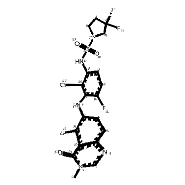 Cn1cnc2ccc(Nc3c(F)ccc(NS(=O)(=O)N4CCC(F)(F)C4)c3Cl)c(Cl)c2c1=O